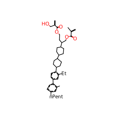 C=C(C)C(=O)OCC(CCOC(=O)C(=C)CO)C1CCC(C2CCC(c3ccc(-c4ccc(CCCCC)cc4C)cc3CC)CC2)CC1